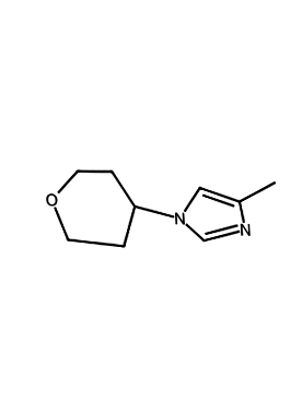 Cc1cn(C2CCOCC2)cn1